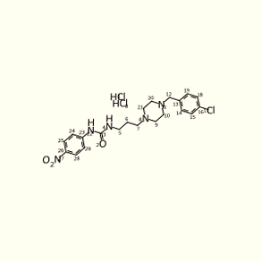 Cl.Cl.O=C(NCCCN1CCN(Cc2ccc(Cl)cc2)CC1)Nc1ccc([N+](=O)[O-])cc1